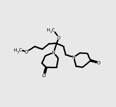 COCCCC(CCN1CCC(=O)CC1)(OC)N1CCC(=O)CC1